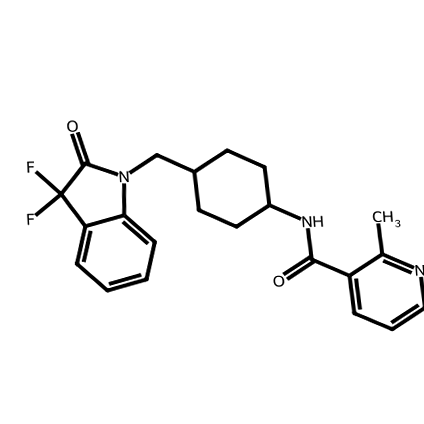 Cc1ncccc1C(=O)NC1CCC(CN2C(=O)C(F)(F)c3ccccc32)CC1